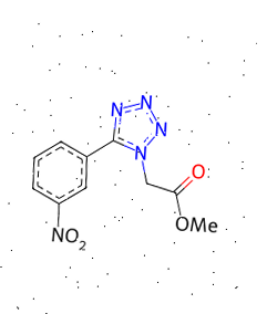 COC(=O)Cn1nnnc1-c1cccc([N+](=O)[O-])c1